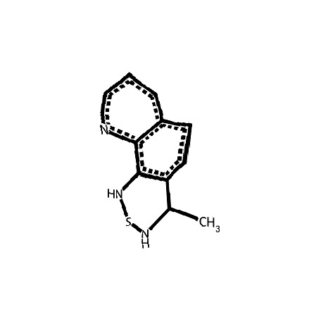 CC1NSNc2c1ccc1cccnc21